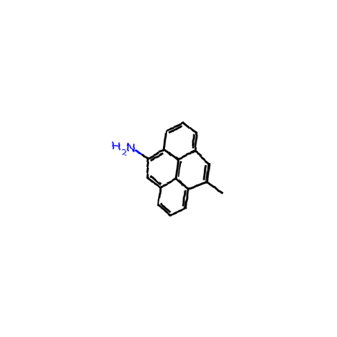 Cc1cc2cccc3c(N)cc4cccc1c4c23